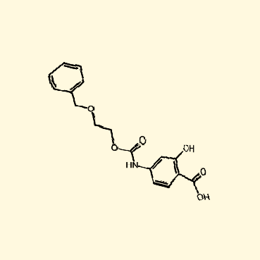 O=C(Nc1ccc(C(=O)O)c(O)c1)OCCOCc1ccccc1